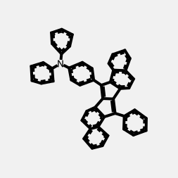 c1ccc(C2=C3C(=C(c4ccc(N(c5ccccc5)c5ccccc5)cc4)c4c3ccc3ccccc43)c3ccc4ccccc4c32)cc1